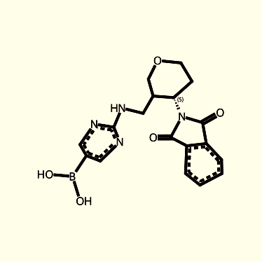 O=C1c2ccccc2C(=O)N1[C@H]1CCOCC1CNc1ncc(B(O)O)cn1